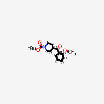 CC(C)(C)OC(=O)N1CCC(C(=O)c2ccccc2OC(F)(F)F)CC1